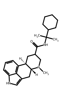 CN1CC(C(=O)NC(C)(C)C2CCCCC2)C[C@@H]2c3cccc4[nH]cc(c34)C[C@H]21